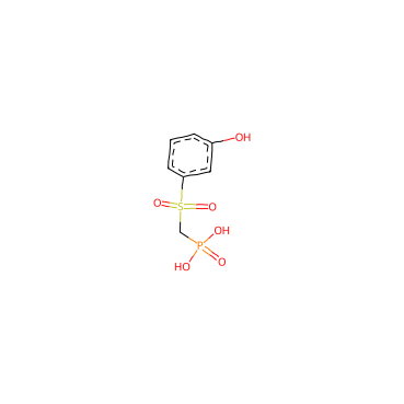 O=P(O)(O)CS(=O)(=O)c1cccc(O)c1